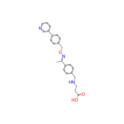 C/C(=N\OCc1ccc(-c2cccnc2)cc1)c1ccc(CNCCC(=O)O)cc1